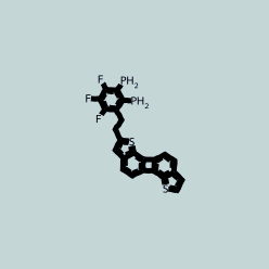 Fc1c(F)c(P)c(P)c(CCc2cc3ccc4c(c3s2)-c2ccc3ccsc3c2-4)c1F